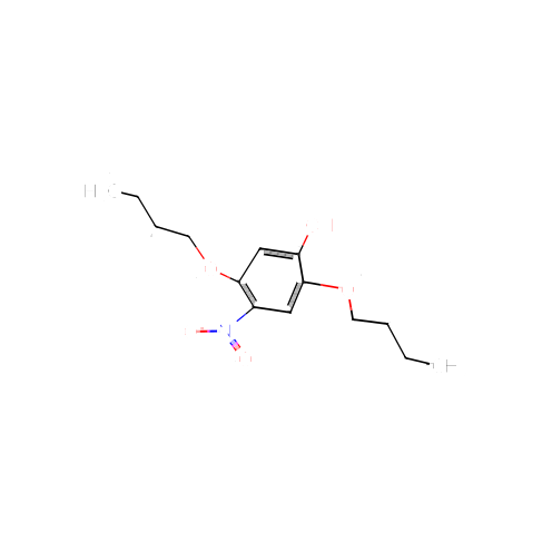 CCCCOc1cc([N+](=O)[O-])c(OCCCC)cc1O